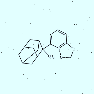 CC1(c2cccc3c2OCO3)C2CC3CC(C2)CC1C3